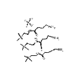 C[N+](C)(C)CCNC(=O)CCCN.C[N+](C)(C)CCNC(=O)CCCN.C[N+](C)(C)CCNC(=O)CCCN.O=P([O-])([O-])[O-]